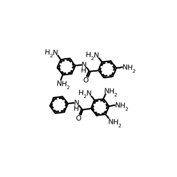 Nc1cc(C(=O)Nc2ccccc2)c(N)c(N)c1N.Nc1cc(N)cc(NC(=O)c2ccc(N)cc2N)c1